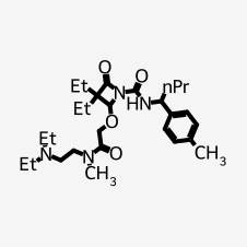 CCCC(NC(=O)N1C(=O)C(CC)(CC)C1OCC(=O)N(C)CCN(CC)CC)c1ccc(C)cc1